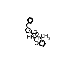 CN1C(=O)[C@@H](NC(=O)N2CCC(Cc3ccccc3)C2)COc2ccccc21